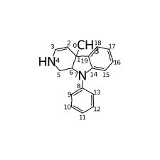 CC12C=CNCC1N(c1ccccc1)c1ccccc12